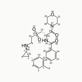 Cc1ccc([C@@H]2C[C@H]2NCCS(=O)(=O)C[C@@H](NC(=O)c2ccccc2)C(=O)N2CCOCC2)cc1